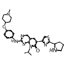 CC(C)n1c(=O)c(-c2csc(C3CCCN3)n2)cc2cnc(Nc3ccc(OC4CCN(C)CC4)cc3)nc21